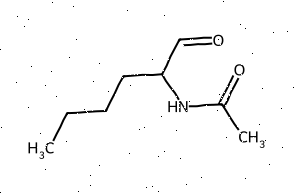 CCCCC(C=O)NC(C)=O